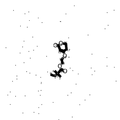 CCC(C)(C)C(=O)OCCOC1=CC(=O)OCC1